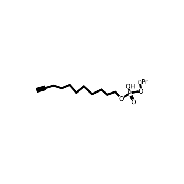 C#CCCCCCCCCCOP(=O)(O)OCCC